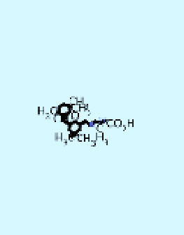 CC(/C=C/C=C1CC(C)(C)CC2=CC3=C(OC12)C(C)(C)CCC3(C)C)=C\C(=O)O